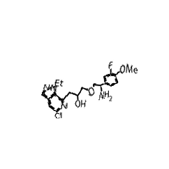 CCn1ncc2cc(Cl)nc(CC(O)COCC(N)c3ccc(OC)c(F)c3)c21